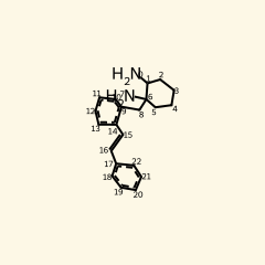 NC1CCCCC1(N)Cc1ccccc1C=Cc1ccccc1